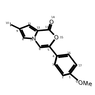 COc1ccc(-c2cn3cc(I)cc3c(=O)o2)cc1